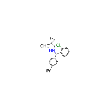 CC(C)c1ccc([C@@H](NCC2(C=O)CC2)c2ccccc2Cl)cc1